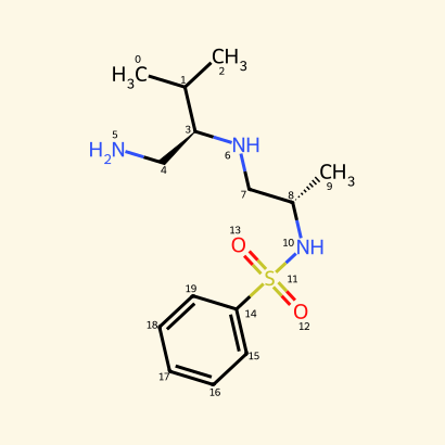 CC(C)[C@H](CN)NC[C@H](C)NS(=O)(=O)c1ccccc1